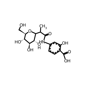 CC(C(=O)Nc1ccc(C(=O)O)c(O)c1)C1O[C@H](CO)[C@@H](O)[C@H](O)[C@H]1O